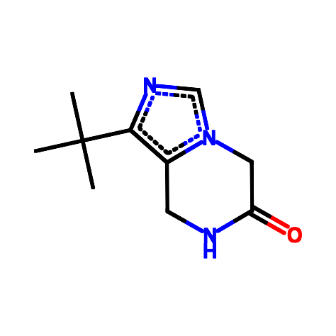 CC(C)(C)c1ncn2c1CNC(=O)C2